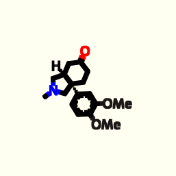 COc1ccc([C@@]23CCC(=O)C[C@@H]2CN(C)C3)cc1OC